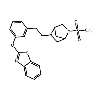 CS(=O)(=O)N1CC2CC1CN2CCc1cccc(Oc2nc3ccccc3s2)c1